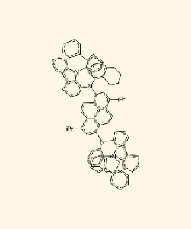 CC(C)c1cc(N(c2cccc3c2CCCC3)c2cccc3c4ccccc4n(-c4ccccc4-c4ccccc4)c23)c2ccc3c(C(C)C)cc(N(c4cccc5c4CCCC5)c4cccc5c6ccccc6n(-c6ccccc6-c6ccccc6)c45)c4ccc1c2c34